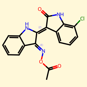 CC(=O)O/N=C1/C(=C2/C(=O)Nc3c(Cl)cccc32)Nc2ccccc21